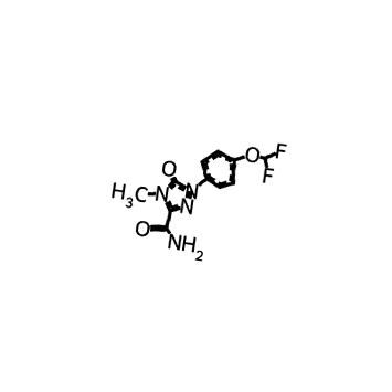 Cn1c(C(N)=O)nn(-c2ccc(OC(F)F)cc2)c1=O